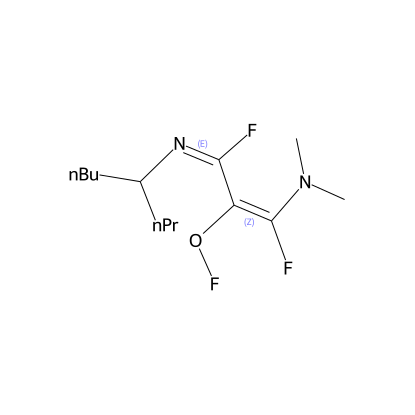 CCCCC(CCC)/N=C(F)\C(OF)=C(\F)N(C)C